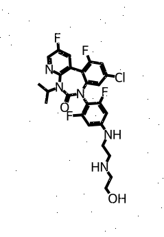 CC(C)N1C(=O)N(c2c(F)cc(NCCNCCO)cc2F)c2cc(Cl)cc(F)c2-c2cc(F)cnc21